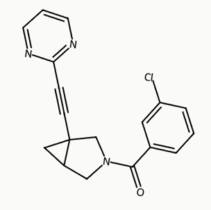 O=C(c1cccc(Cl)c1)N1CC2CC2(C#Cc2ncccn2)C1